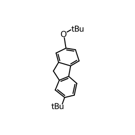 CC(C)(C)Oc1ccc2c(c1)Cc1cc(C(C)(C)C)ccc1-2